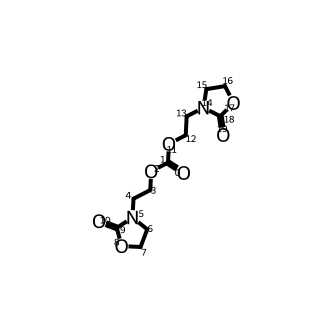 O=C(OCCN1CCOC1=O)OCCN1CCOC1=O